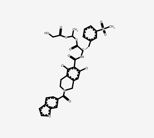 CC(OC(=O)CO)OC(=O)[C@H](Cc1cccc(S(C)(=O)=O)c1)NC(=O)c1c(Cl)cc2c(c1Cl)CCN(C(=O)c1ccc3ccoc3c1)C2